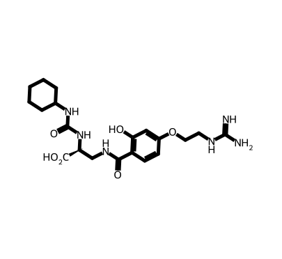 N=C(N)NCCOc1ccc(C(=O)NC[C@H](NC(=O)NC2CCCCC2)C(=O)O)c(O)c1